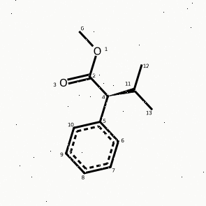 COC(=O)[C@H](c1ccccc1)C(C)C